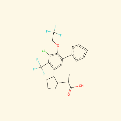 CC(C(=O)O)C1CCCC1c1cc(-c2ccccc2)c(OCC(F)(F)F)c(Cl)c1C(F)(F)F